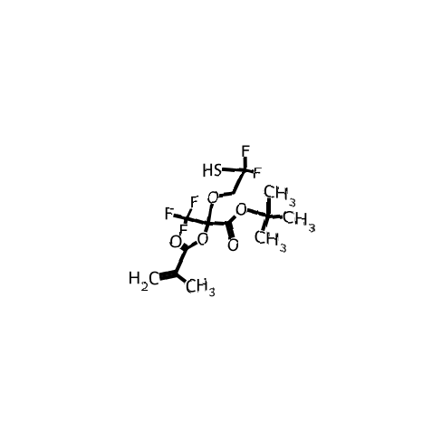 C=C(C)C(=O)OC(OCC(F)(F)S)(C(=O)OC(C)(C)C)C(F)(F)F